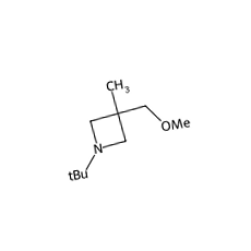 COCC1(C)CN(C(C)(C)C)C1